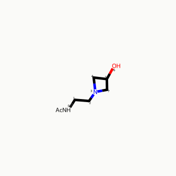 CC(=O)NCCN1CC(O)C1